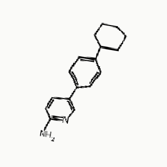 Nc1ccc(-c2ccc(C3CCCCC3)cc2)cn1